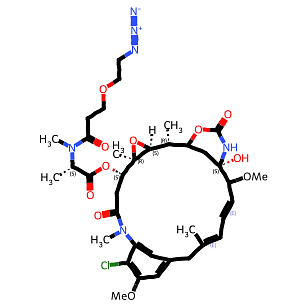 COc1cc2cc(c1Cl)N(C)C(=O)C[C@H](OC(=O)[C@H](C)N(C)C(=O)CCOCCN=[N+]=[N-])[C@@]1(C)O[C@H]1[C@H](C)C1C[C@@](O)(NC(=O)O1)C(OC)/C=C/C=C(\C)C2